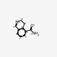 NC(=O)c1cccc2c1CCN=C2